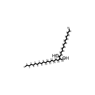 CCCCCCCCCCCCCCCCCC(CO)C(O)CCCCCCCCCCCCCC